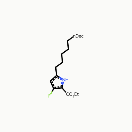 CCCCCCCCCCCCCCCc1cc(F)c(C(=O)OCC)[nH]1